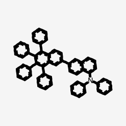 c1ccc(-c2c(-c3ccccc3)c(-c3ccccc3)c3cc(-c4ccc5c(N(c6ccccc6)c6ccccc6)cccc5c4)ccc3c2-c2ccccc2)cc1